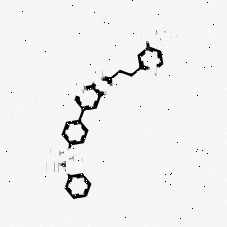 COc1ccnc(CCc2nc3ncc(-c4ccc(S(=O)(=O)Nc5ccccc5)cc4)cc3o2)c1